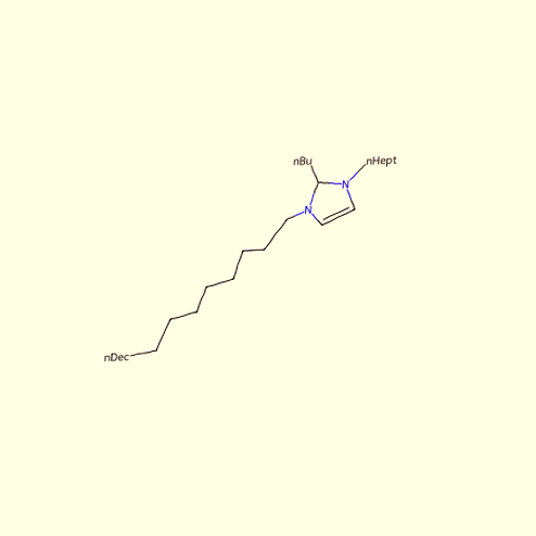 CCCCCCCCCCCCCCCCCCN1C=CN(CCCCCCC)C1CCCC